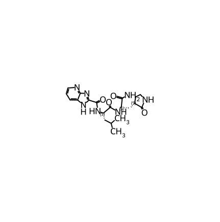 CC(C)C[C@H](NC(=O)c1nc2ncccc2[nH]1)C(=O)N[C@@H](C[C@@H]1CCNC1=O)C(N)=O